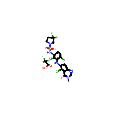 Cn1cnc2ccc(Nc3c(F)ccc(NS(=O)(=O)N4CCC(F)(F)C4)c3Cl)c(Cl)c2c1=O.O=C(O)C(F)(F)F